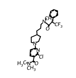 CN(C)C(=O)c1ccc(N2CCC(CCCN(C)C(=O)C(c3ccccc3)C(F)(F)F)CC2)nc1Cl